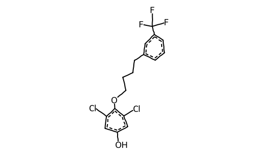 Oc1cc(Cl)c(OCCCCc2cccc(C(F)(F)F)c2)c(Cl)c1